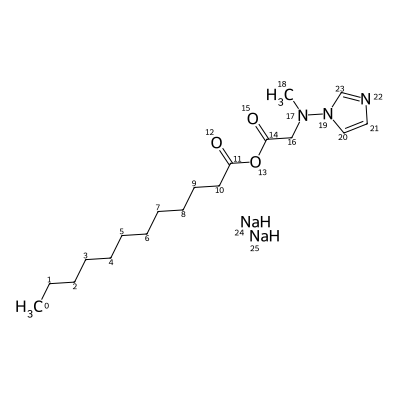 CCCCCCCCCCCC(=O)OC(=O)CN(C)n1ccnc1.[NaH].[NaH]